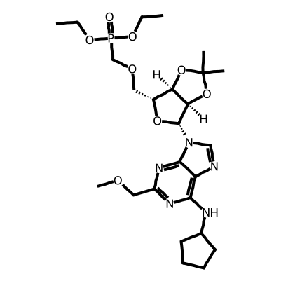 CCOP(=O)(COC[C@H]1O[C@@H](n2cnc3c(NC4CCCC4)nc(COC)nc32)[C@@H]2OC(C)(C)O[C@@H]21)OCC